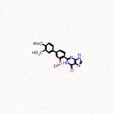 CCOc1cc(-c2ccc(OC)c(C(=O)O)c2)ccc1-c1nc2[nH]cnc2c(=O)[nH]1